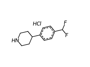 Cl.FC(F)c1ccc(C2CCNCC2)cc1